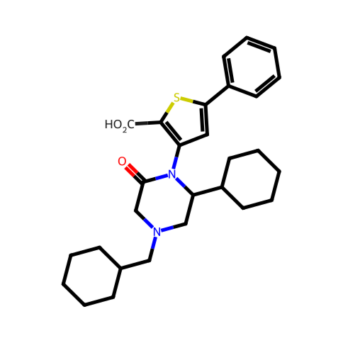 O=C(O)c1sc(-c2ccccc2)cc1N1C(=O)CN(CC2CCCCC2)CC1C1CCCCC1